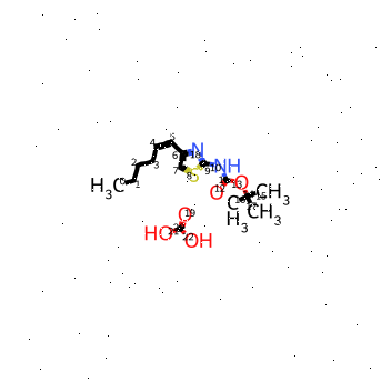 CCCC/C=C\c1csc(NC(=O)OC(C)(C)C)n1.O=C(O)O